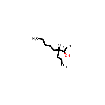 CCCCCC(C)(CCC)C(C)O